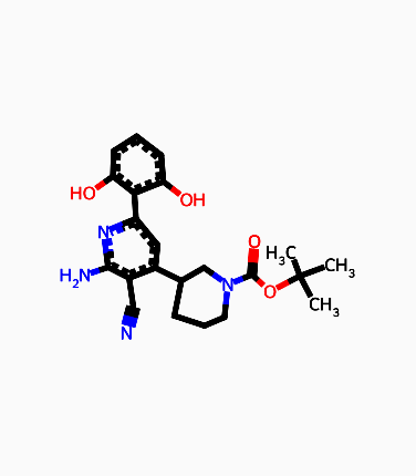 CC(C)(C)OC(=O)N1CCCC(c2cc(-c3c(O)cccc3O)nc(N)c2C#N)C1